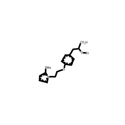 CCOC(Cc1ccc(OCCn2cccc2SC)cc1)C(=O)O